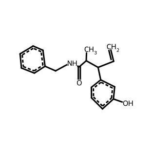 C=CC(c1cccc(O)c1)C(C)C(=O)NCc1ccccc1